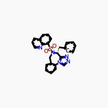 O=S(=O)(c1cccc2cccnc12)N1Cc2ccccc2-n2cnnc2[C@H]1Cc1ccccc1